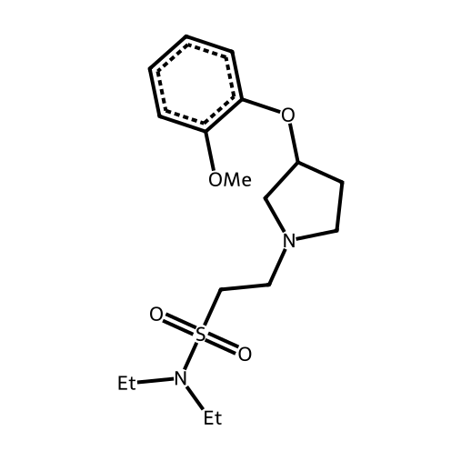 CCN(CC)S(=O)(=O)CCN1CCC(Oc2ccccc2OC)C1